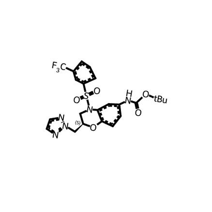 CC(C)(C)OC(=O)Nc1ccc2c(c1)N(S(=O)(=O)c1cccc(C(F)(F)F)c1)C[C@H](Cn1nccn1)O2